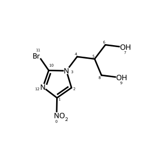 O=[N+]([O-])c1cn(CC(CO)CO)c(Br)n1